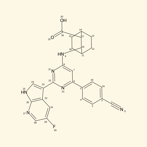 N#Cc1ccc(-c2cc(NC3C4CCC(CC4)C3C(=O)O)nc(-c3c[nH]c4ncc(F)cc34)n2)cc1